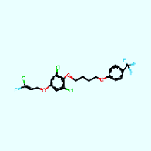 F/C(Cl)=C/COc1cc(Cl)c(OCCCCOc2ccc(C(F)(F)F)cc2)c(Cl)c1